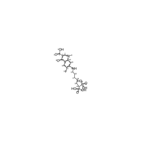 Cn1cc(C(=O)O)c(=O)c2cc(F)c(NCCCCCC(P(=O)(O)O)P(=O)(O)O)cc21